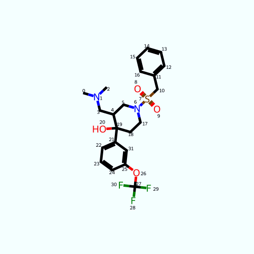 CN(C)CC1CN(S(=O)(=O)Cc2ccccc2)CCC1(O)c1cccc(OC(F)(F)F)c1